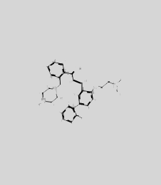 Cc1ccccc1-c1ccc(OCCN(C)C)c(C=CC(=O)c2ccccc2CN2CCN(C)CC2)c1